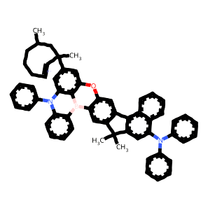 CC1CCC/C=C/C(C)(c2cc3c4c(c2)N(c2ccccc2)c2ccccc2B4c2cc4c(cc2O3)-c2c(cc(N(c3ccccc3)c3ccccc3)c3ccccc23)C4(C)C)C1